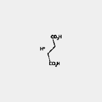 O=C(O)CCC(=O)O.[H+]